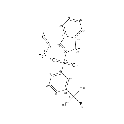 NC(=O)c1c(S(=O)(=O)c2cccc(C(F)(F)F)c2)[nH]c2ccccc12